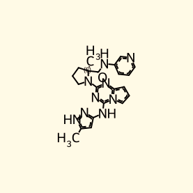 Cc1cc(Nc2nc(N3CCC[C@@]3(C)C(=O)Nc3cccnc3)nc3cccn23)n[nH]1